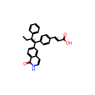 CC/C(=C(/c1ccc(/C=C/C(=O)O)cc1)c1ccc2c(=O)[nH]ccc2c1)c1ccccc1